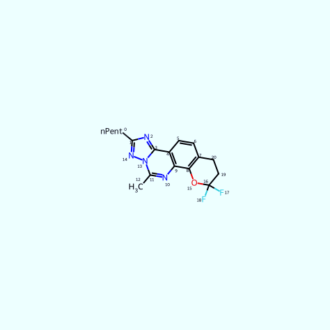 CCCCCc1nc2c3ccc4c(c3nc(C)n2n1)OC(F)(F)CC4